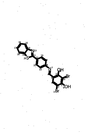 Oc1c(Br)cc(/C=N/c2ccc(-c3nc4ccccc4s3)cc2)c(O)c1Br